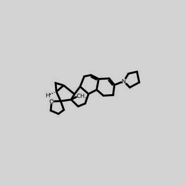 CC12CCC3C4CCC(N5CCCC5)=CC4=CCC3C1C1C[C@@H]1C21CCCO1